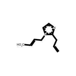 C=CCc1nccn1CC=CC(=O)O